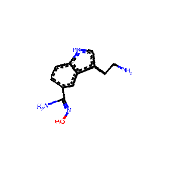 NCCc1c[nH]c2ccc(C(N)=NO)cc12